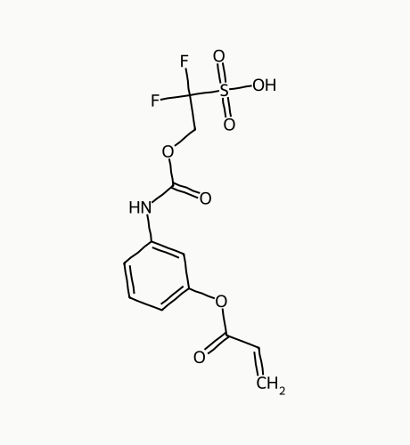 C=CC(=O)Oc1cccc(NC(=O)OCC(F)(F)S(=O)(=O)O)c1